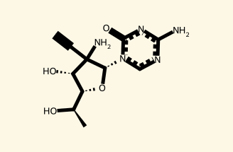 C#CC1(N)[C@@H](O)[C@@H]([C@@H](C)O)O[C@H]1n1cnc(N)nc1=O